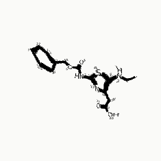 CCNc1sc(NC(=O)OCc2ccccc2)nc1CC(=O)O